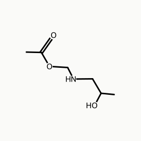 CC(=O)OCNCC(C)O